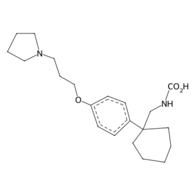 O=C(O)NCC1(c2ccc(OCCCN3CCCC3)cc2)CCCCC1